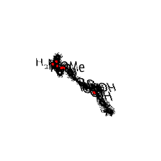 COCOc1ccccc1-c1cc(N2CC3CCC(C2)N3c2ccnc(OC3CC(Oc4ccc(/C=C/COc5cc(C(C(=O)N6C[C@H](O)C[C@H]6C(=O)NCc6ccc(-c7scnc7C)cc6)C(C)C)on5)nc4)C3)c2)c(N)nn1